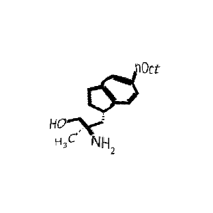 CCCCCCCCc1ccc2c(c1)CC[C@H]2C[C@@](C)(N)CO